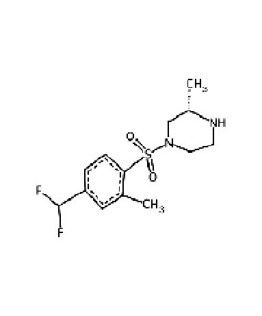 Cc1cc(C(F)F)ccc1S(=O)(=O)N1CCN[C@@H](C)C1